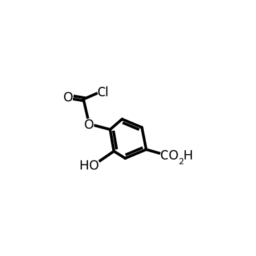 O=C(Cl)Oc1ccc(C(=O)O)cc1O